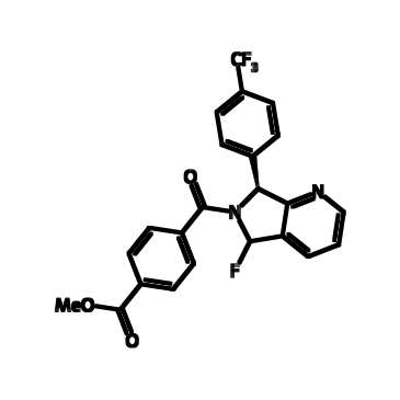 COC(=O)c1ccc(C(=O)N2C(F)c3cccnc3[C@@H]2c2ccc(C(F)(F)F)cc2)cc1